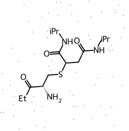 CCC(=O)[C@@H](N)CSC(CC(=O)NC(C)C)C(=O)NC(C)C